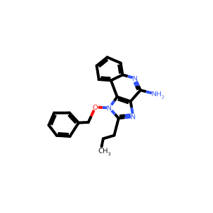 CCCc1nc2c(N)nc3ccccc3c2n1OCc1ccccc1